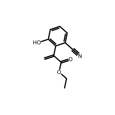 C=C(C(=O)OCC)c1c(O)cccc1C#N